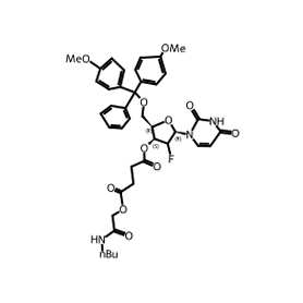 CCCCNC(=O)COC(=O)CCC(=O)O[C@@H]1C(F)[C@H](n2ccc(=O)[nH]c2=O)O[C@@H]1COC(c1ccccc1)(c1ccc(OC)cc1)c1ccc(OC)cc1